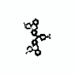 CN1CCN2c3ccc(C(=C4C=CC(=[N+](C)C)C=C4)c4ccc5c(c4)Cc4ccccc4C4CN(C)CCN54)cc3Cc3ccccc3C2C1